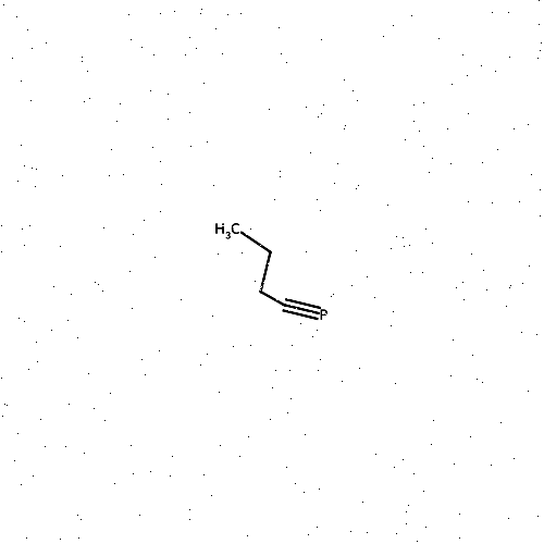 CCCC#P